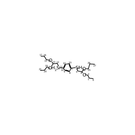 CCCOC(C[SiH2]c1ccc([SiH2]CC(OCCC)OCCC)cc1)OCCC